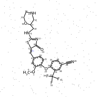 COc1cc(/C=C2/SC(NCC3CNCCO3)=NC2=O)ccc1Oc1ccc(C#N)cc1C(F)(F)F